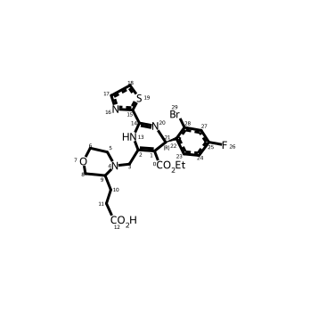 CCOC(=O)C1=C(CN2CCOCC2CCC(=O)O)NC(c2nccs2)=N[C@H]1c1ccc(F)cc1Br